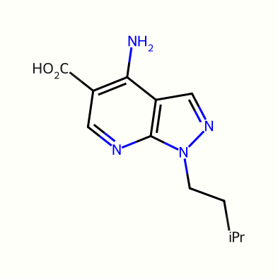 CC(C)CCn1ncc2c(N)c(C(=O)O)cnc21